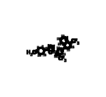 CN1CCC(c2nnc([C@]34CN(c5ccc(C(F)(F)F)c6ncccc56)C[C@@]3(C(F)(F)F)C4)o2)CC1